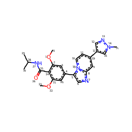 COc1cc(-c2cnc3cc(-c4cnn(C)c4)ccn23)cc(OC)c1C(=O)NC(C)C